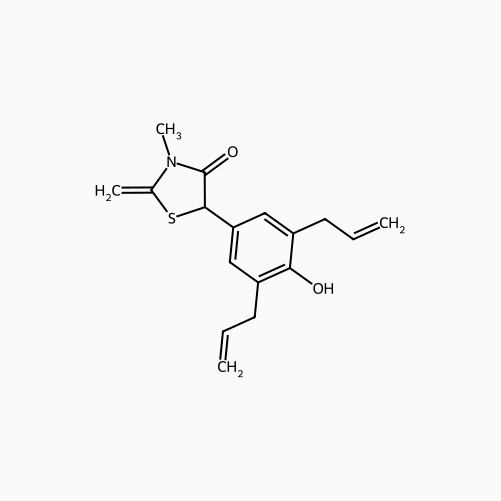 C=CCc1cc(C2SC(=C)N(C)C2=O)cc(CC=C)c1O